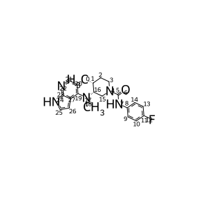 C[C@@H]1CCN(C(=O)Nc2ccc(F)cc2)C[C@@H]1N(C)c1ccnc2[nH]ccc12